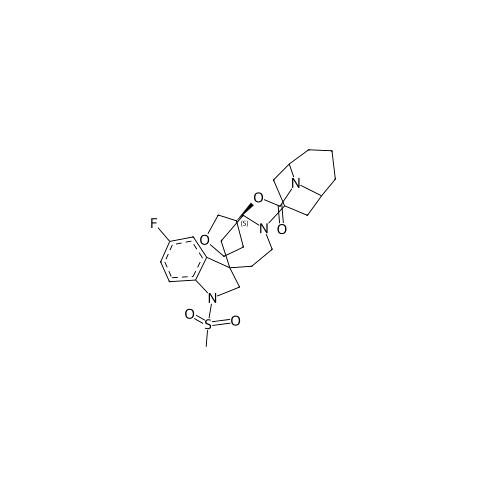 CS(=O)(=O)N1CC2(CCN(C3CC4CCCC(C3)N4C(=O)O[C@H]3CCOC3)CC2)c2cc(F)ccc21